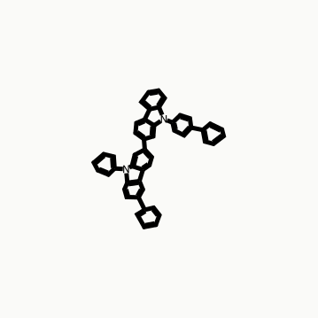 c1ccc(-c2ccc(-n3c4ccccc4c4ccc(-c5ccc6c7cc(-c8ccccc8)ccc7n(-c7ccccc7)c6c5)cc43)cc2)cc1